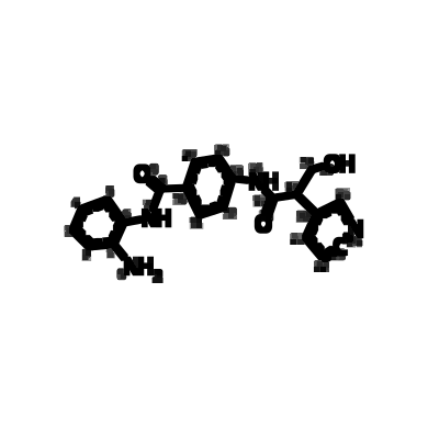 Nc1ccccc1NC(=O)c1ccc(NC(=O)C(CO)c2cccnc2)cc1